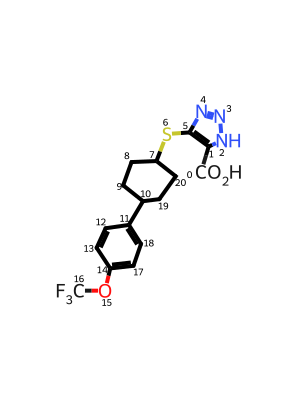 O=C(O)c1[nH]nnc1SC1CCC(c2ccc(OC(F)(F)F)cc2)CC1